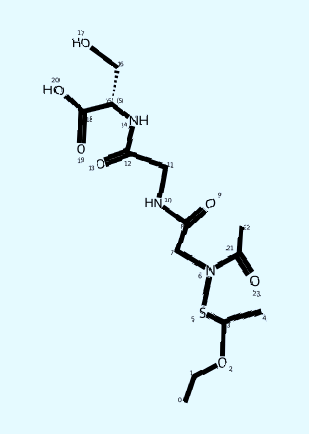 CCOC(C)SN(CC(=O)NCC(=O)N[C@@H](CO)C(=O)O)C(C)=O